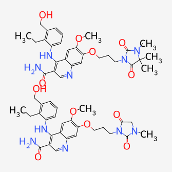 CCc1c(CO)cccc1Nc1c(C(N)=O)cnc2cc(OCCCN3C(=O)CN(C)C3=O)c(OC)cc12.CCc1c(CO)cccc1Nc1c(C(N)=O)cnc2cc(OCCCN3C(=O)N(C)C(C)(C)C3=O)c(OC)cc12